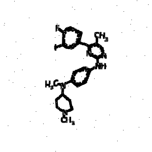 Cc1cnc(Nc2ccc(N(C)C3CCN(C)CC3)cc2)nc1-c1ccc(F)c(I)c1